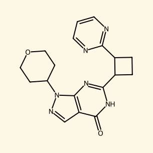 O=c1[nH]c(C2CCC2c2ncccn2)nc2c1cnn2C1CCOCC1